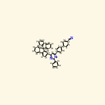 N#Cc1ccc(-c2ccc(-c3cc(-c4ccc5c(c4)C(c4ccccc4)(c4ccccc4)c4ccccc4-5)nc(-c4ccccc4)n3)cc2)cc1